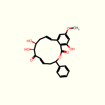 COc1cc(O)c2c(c1)/C=C/C[C@H](O)[C@H](O)C(=O)/C=C/CC(c1ccccc1)OC2=O